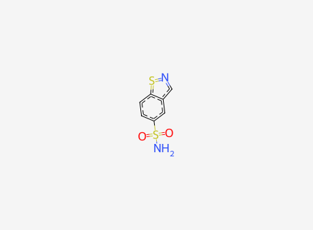 NS(=O)(=O)c1ccc2sncc2c1